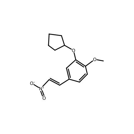 COc1ccc(/C=C/[N+](=O)[O-])cc1OC1CCCC1